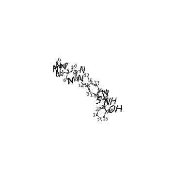 Cn1nnc(-c2cnc3c(c2)ncn3Cc2ccc3nc(NC4CCCCC4O)sc3c2)n1